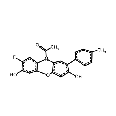 CC(=O)N1c2cc(F)c(O)cc2Oc2cc(O)c(-c3ccc(C)cc3)cc21